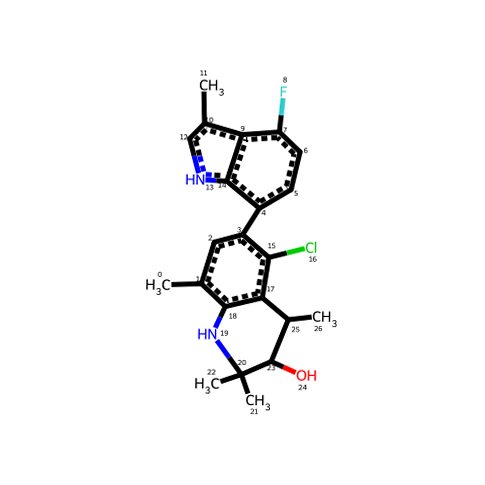 Cc1cc(-c2ccc(F)c3c(C)c[nH]c23)c(Cl)c2c1NC(C)(C)C(O)C2C